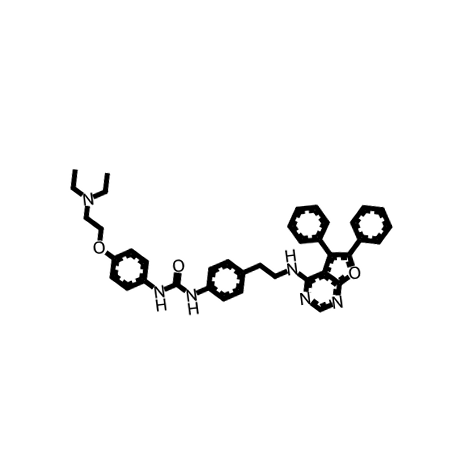 CCN(CC)CCOc1ccc(NC(=O)Nc2ccc(CCNc3ncnc4oc(-c5ccccc5)c(-c5ccccc5)c34)cc2)cc1